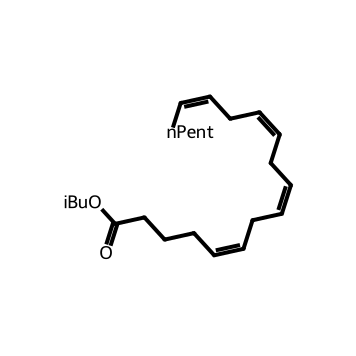 CCCCC/C=C\C/C=C\C/C=C\C/C=C\CCCC(=O)OCC(C)C